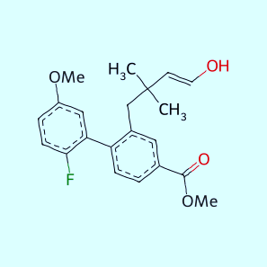 COC(=O)c1ccc(-c2cc(OC)ccc2F)c(CC(C)(C)C=CO)c1